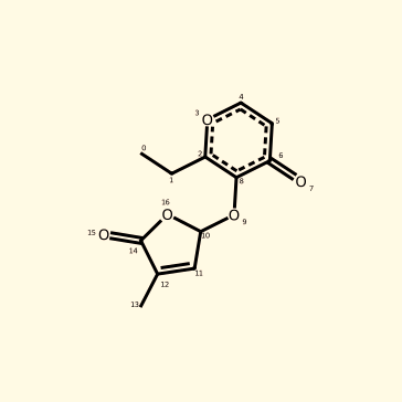 CCc1occc(=O)c1OC1C=C(C)C(=O)O1